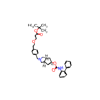 CC(C)(C)OC(=O)CCOCCc1ccc(CN2C[C@H]3C[C@@H](OC(=O)Nc4ccccc4-c4ccccc4)C[C@H]3C2)cc1